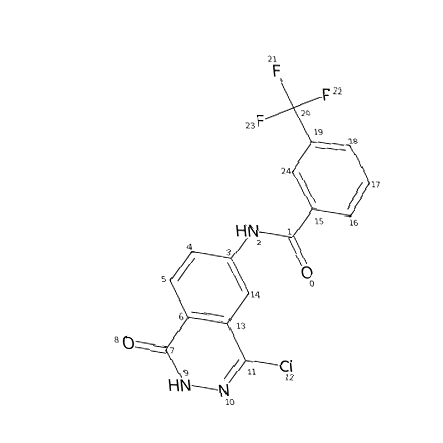 O=C(Nc1ccc2c(=O)[nH]nc(Cl)c2c1)c1cccc(C(F)(F)F)c1